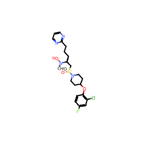 O=CN(O)C(CCCc1ncccn1)C[S+]([O-])N1CCC(Oc2ccc(F)cc2Cl)CC1